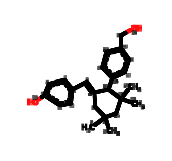 CC1(C)CC(=Cc2ccc(O)cc2)C(c2ccc(CO)cc2)C(C)(C)C1